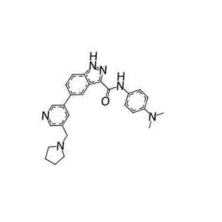 CN(C)c1ccc(NC(=O)c2n[nH]c3ccc(-c4cncc(CN5CCCC5)c4)cc23)cc1